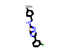 COc1ccc(CNc2nn3cc(-c4cccc(F)c4)nc3s2)cc1